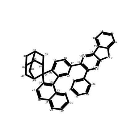 c1ccc(-c2nc3sc4ccccc4c3nc2-c2ccc3c(c2)-c2c(ccc4ccccc24)C32C3CC4CC(C3)CC2C4)cc1